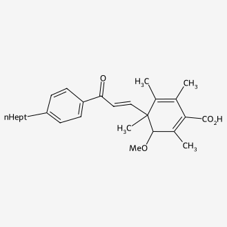 CCCCCCCc1ccc(C(=O)C=CC2(C)C(C)=C(C)C(C(=O)O)=C(C)C2OC)cc1